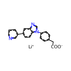 O=C([O-])Cc1ccc(-n2cnc3cc(-c4cccnc4)ccc32)cc1.[Li+]